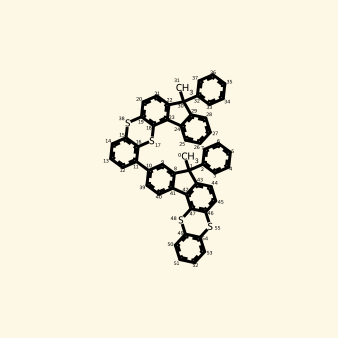 CC1(c2ccccc2)c2cc(-c3cccc4c3Sc3c(ccc5c3-c3ccccc3C5(C)c3ccccc3)S4)ccc2-c2c1ccc1c2Sc2ccccc2S1